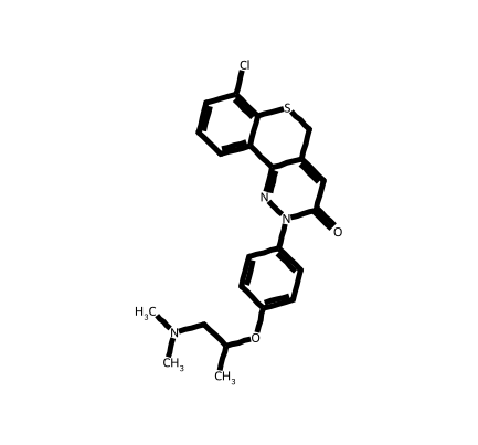 CC(CN(C)C)Oc1ccc(-n2nc3c(cc2=O)CSc2c(Cl)cccc2-3)cc1